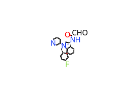 O=CC(=O)NC1=C[N+](Cc2ccc(F)cc2)(c2cccnc2)c2ccccc21